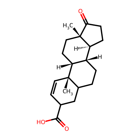 C[C@]12C=CC(C(=O)O)CC1CC[C@@H]1[C@H]2CC[C@]2(C)C(=O)CC[C@@H]12